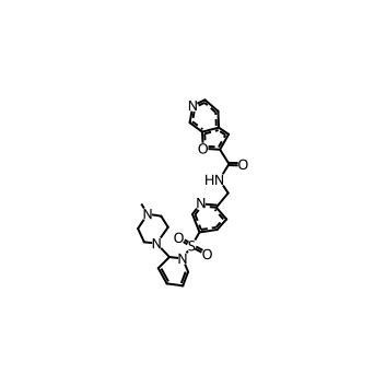 CN1CCN(C2C=CC=CN2S(=O)(=O)c2ccc(CNC(=O)c3cc4ccncc4o3)nc2)CC1